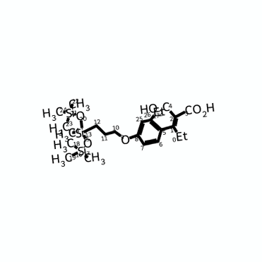 CCC(=C(C(=O)O)C(=O)O)c1ccc(OCCC[Si](C)(O[Si](C)(C)C)O[Si](C)(C)C)cc1CC